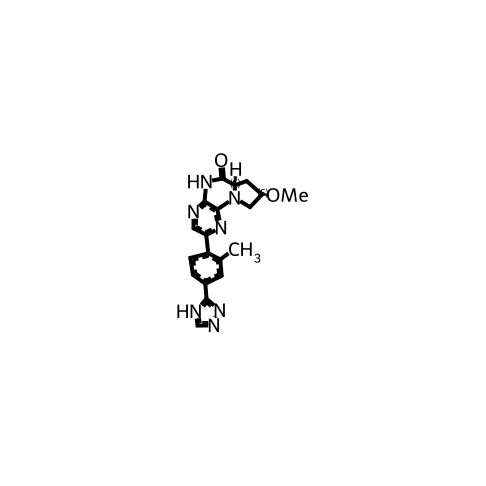 CO[C@H]1C[C@H]2C(=O)Nc3ncc(-c4ccc(-c5nnc[nH]5)cc4C)nc3N2C1